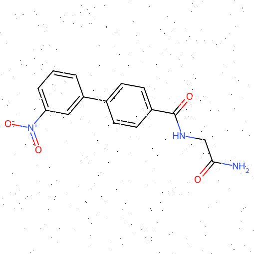 NC(=O)CNC(=O)c1ccc(-c2cccc([N+](=O)[O-])c2)cc1